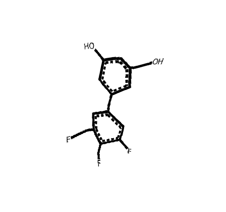 Oc1cc(O)cc(-c2cc(F)c(F)c(F)c2)c1